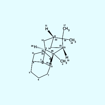 C[C@@H]1[C@@H](B2C3CCCC2CCC3)C[C@H]2C[C@@H]1C2(C)C